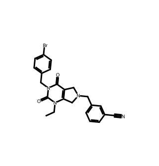 CCn1c2c(c(=O)n(Cc3ccc(Br)cc3)c1=O)CN(Cc1cccc(C#N)c1)C2